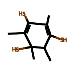 CC1=C(S)C(C)C(C)(S)C(C)=C1S